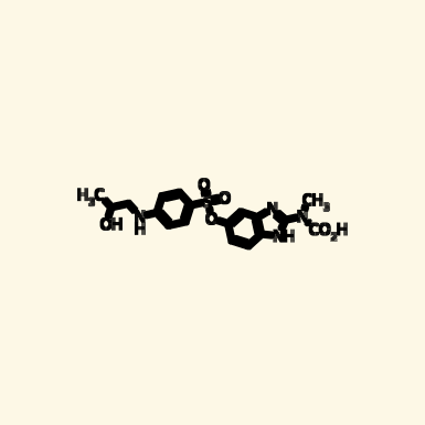 CC(O)CNc1ccc(S(=O)(=O)Oc2ccc3[nH]c(N(C)C(=O)O)nc3c2)cc1